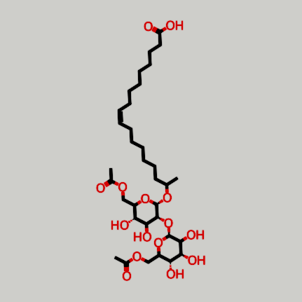 CC(=O)OCC1O[C@@H](OC(C)CCCCCC/C=C\CCCCCCCC(=O)O)[C@@H](O[C@@H]2OC(COC(C)=O)[C@@H](O)[C@H](O)C2O)C(O)[C@@H]1O